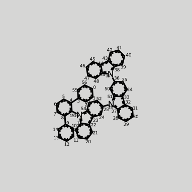 c1ccc(-c2cccc(-c3ccccc3)c2-n2c3ccccc3c3cc(-n4c5ccccc5c5ccc(-n6c7ccccc7c7ccccc76)cc54)ccc32)cc1